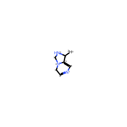 [2H]C1NCN2CC=NC=C12